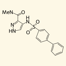 CNC(=O)c1n[nH]cc1NS(=O)(=O)c1ccc(-c2ccccc2)cc1